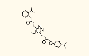 CCn1c(CCC(=O)COc2ccc(C(C)C)cc2)nnc1CCC(=O)Cc1ccccc1C(C)C